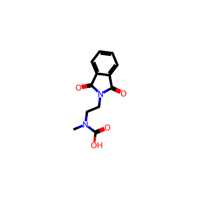 CN(CCN1C(=O)c2ccccc2C1=O)C(=O)O